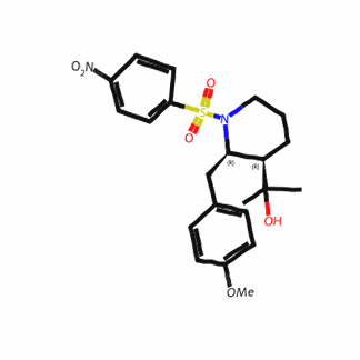 COc1ccc(C[C@@H]2[C@H](C(C)(C)O)CCCN2S(=O)(=O)c2ccc([N+](=O)[O-])cc2)cc1